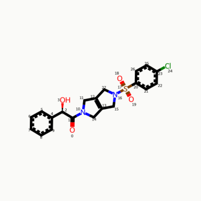 O=C([C@H](O)c1ccccc1)N1CC2=C(C1)CN(S(=O)(=O)c1ccc(Cl)cc1)C2